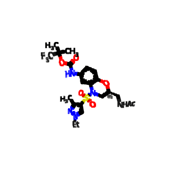 CCn1cc(S(=O)(=O)N2C[C@H](CNC(C)=O)Oc3ccc(NC(=O)OC(C)(C)C(F)(F)F)cc32)c(C)n1